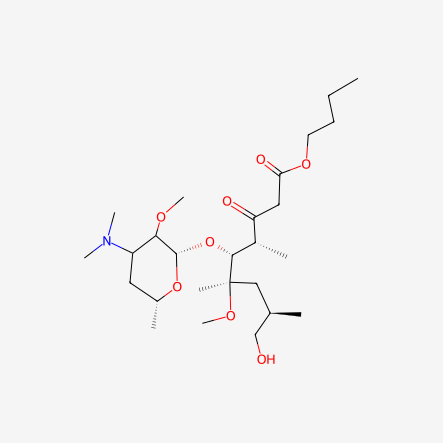 CCCCOC(=O)CC(=O)[C@H](C)[C@@H](O[C@@H]1O[C@H](C)CC(N(C)C)C1OC)[C@@](C)(C[C@@H](C)CO)OC